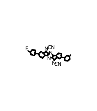 Cc1cccc(-c2ccc3c(c2)/c(=N\C#N)c2nc4c(nc23)/c(=N\C#N)c2cc(-c3ccc(CF)cc3)ccc24)c1